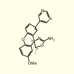 COc1ccc2c(c1)[C@]1(N=C(N)O[C@@H]1C)c1cc(-c3cncnc3)ccc1O2